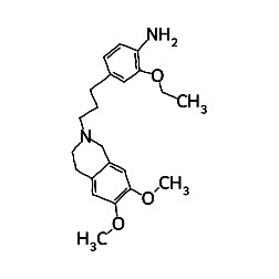 CCOc1cc(CCCN2CCc3cc(OC)c(OC)cc3C2)ccc1N